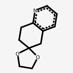 [c]1ccc2c(n1)CCC1(C2)OCCO1